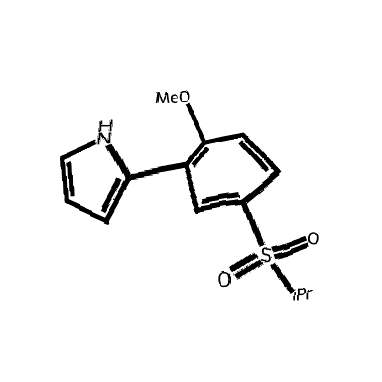 COc1ccc(S(=O)(=O)C(C)C)cc1-c1ccc[nH]1